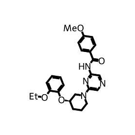 CCOc1ccccc1O[C@@H]1CCCN(c2cncc(NC(=O)c3ccc(OC)cc3)n2)C1